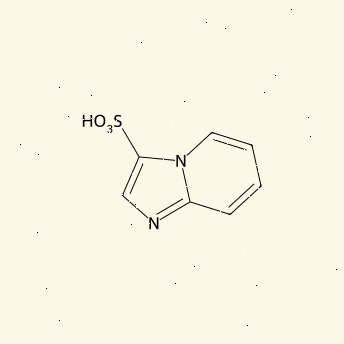 O=S(=O)(O)c1cnc2ccccn12